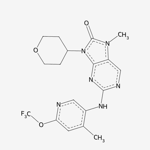 Cc1cc(OC(F)(F)F)ncc1Nc1ncc2c(n1)n(C1CCOCC1)c(=O)n2C